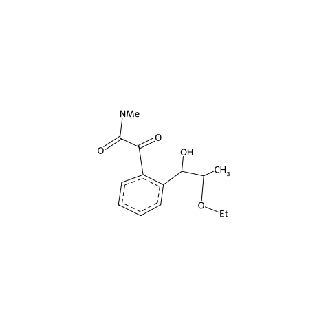 CCOC(C)C(O)c1ccccc1C(=O)C(=O)NC